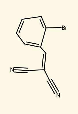 N#CC(C#N)=Cc1ccccc1Br